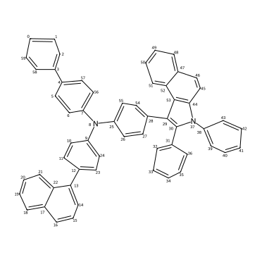 c1ccc(-c2ccc(N(c3ccc(-c4cccc5ccccc45)cc3)c3ccc(-c4c(-c5ccccc5)n(-c5ccccc5)c5ccc6ccccc6c45)cc3)cc2)cc1